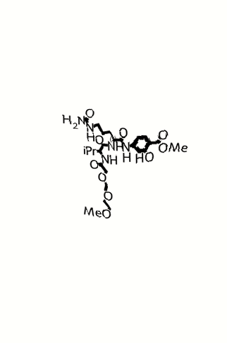 COCCOCCOCC(=O)NC(C(=O)N[C@@H](CCCNC(N)=O)C(=O)Nc1ccc(C(=O)OC)c(O)c1)C(C)C